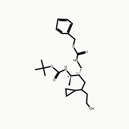 C[C@@H](NC(=O)OC(C)(C)C)[C@H](CNC(=O)OCc1ccccc1)CC(CCO)C1CC1